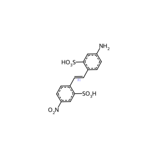 Nc1ccc(/C=C/c2ccc([N+](=O)[O-])cc2S(=O)(=O)O)c(S(=O)(=O)O)c1